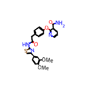 COc1ccc(-c2csc(NC(=O)Cc3ccc(Oc4ncccc4C(N)=O)cc3)n2)cc1OC